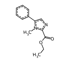 CCOC(=O)c1ncc(-c2ccccc2)n1C